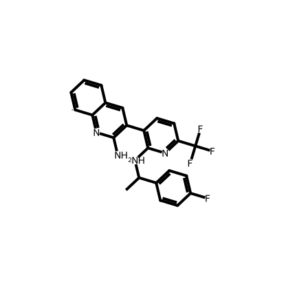 CC(Nc1nc(C(F)(F)F)ccc1-c1cc2ccc[c]c2nc1N)c1ccc(F)cc1